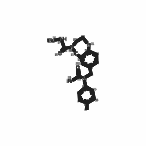 Cc1ccc(N(Cc2ccc3c(c2)CN(C(=O)NC(C)(C)C)CCO3)C(=O)C(C)C)cc1